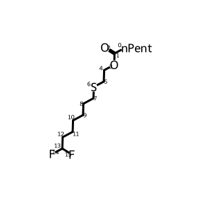 CCCCCC(=O)OCCSCCCCCCC(F)F